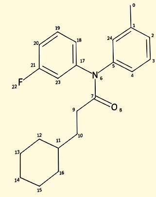 Cc1cccc(N(C(=O)CCC2CCCCC2)c2cccc(F)c2)c1